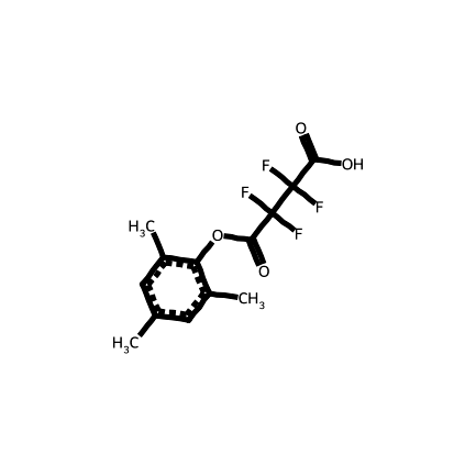 Cc1cc(C)c(OC(=O)C(F)(F)C(F)(F)C(=O)O)c(C)c1